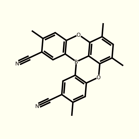 Cc1cc2c(cc1C#N)B1c3cc(C#N)c(C)cc3Oc3c(C)cc(C)c(c31)O2